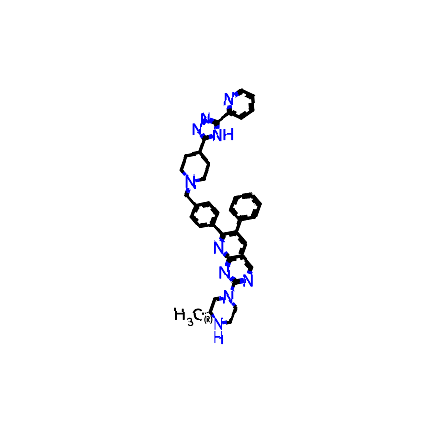 C[C@@H]1CN(c2ncc3cc(-c4ccccc4)c(-c4ccc(CN5CCC(c6nnc(-c7ccccn7)[nH]6)CC5)cc4)nc3n2)CCN1